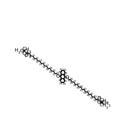 CC(C)(C)OC(=O)CCCCCCCCCCCCCCCCCOc1c2ccccc2c(OCCCCCCCCCCCCCCCCCC(=O)OC(C)(C)C)c2ccccc12